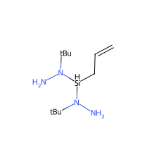 C=CC[SiH](N(N)C(C)(C)C)N(N)C(C)(C)C